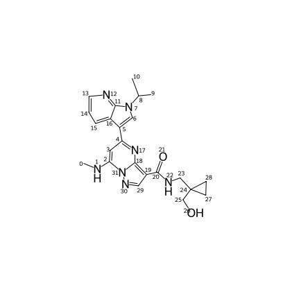 CNc1cc(-c2cn(C(C)C)c3ncccc23)nc2c(C(=O)NCC3(CO)CC3)cnn12